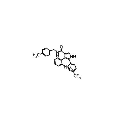 O=C(NCc1ccc(C(F)(F)F)cc1)c1c[nH]c(-c2ccc(C(F)(F)F)cc2)c1-c1ccccc1[N+](=O)[O-]